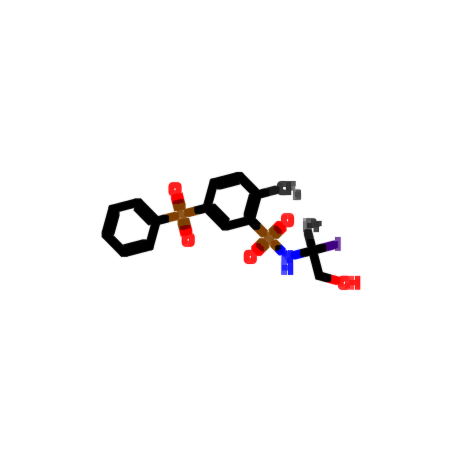 CC(C)C(I)(CO)NS(=O)(=O)c1cc(S(=O)(=O)c2ccccc2)ccc1C(F)(F)F